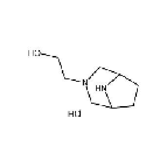 Cl.OCCN1CC2CCC(C1)N2